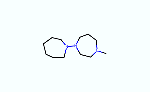 CN1CCCN(N2CCCCCC2)CC1